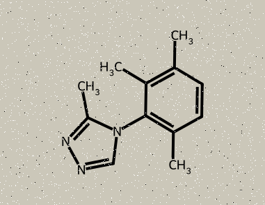 Cc1ccc(C)c(-n2cnnc2C)c1C